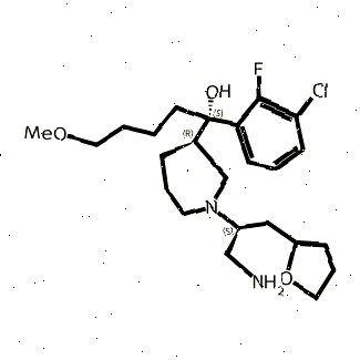 COCCCC[C@@](O)(c1cccc(Cl)c1F)[C@@H]1CCCN([C@H](CN)CC2CCCO2)C1